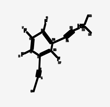 CC#Cc1c(F)c(F)c(F)c(C#C[SiH](C)C)c1F